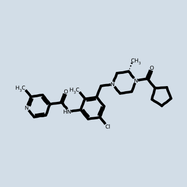 Cc1cc(C(=O)Nc2cc(Cl)cc(CN3CCN(C(=O)C4CCCC4)[C@@H](C)C3)c2C)ccn1